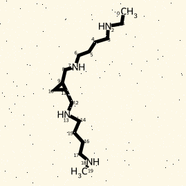 CCNCCCCNCC1CC1CNCCCCNC